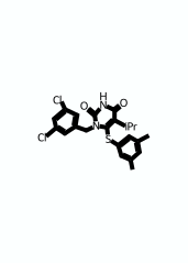 Cc1cc(C)cc(Sc2c(C(C)C)c(=O)[nH]c(=O)n2Cc2cc(Cl)cc(Cl)c2)c1